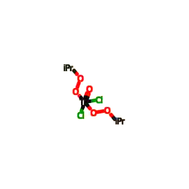 CC(C)O[O][Ti](=[O])([Cl])([Cl])[O]OC(C)C